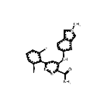 Cn1cc2ccc(Nc3cc(-c4c(F)cccc4F)nnc3C(N)=O)cc2c1